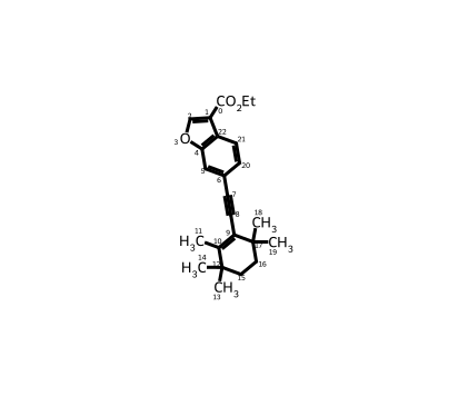 CCOC(=O)c1coc2cc(C#CC3=C(C)C(C)(C)CCC3(C)C)ccc12